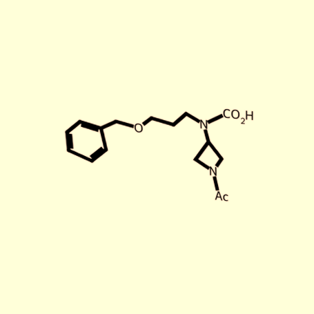 CC(=O)N1CC(N(CCCOCc2ccccc2)C(=O)O)C1